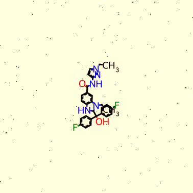 CCN1c2cc(C(=O)Nc3ccn(CC)n3)ccc2NC1C(O)(c1ccc(F)cc1)c1ccc(F)cc1